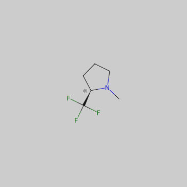 CN1CCC[C@@H]1C(F)(F)F